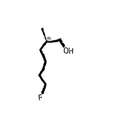 C[C@@H](CO)CCCCF